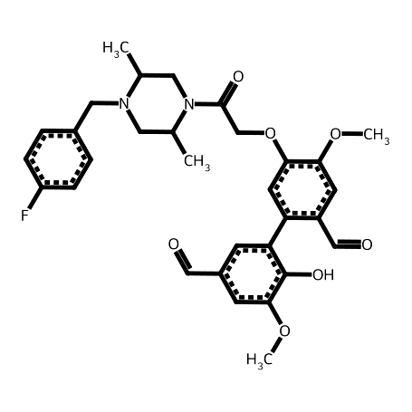 COc1cc(C=O)c(-c2cc(C=O)cc(OC)c2O)cc1OCC(=O)N1CC(C)N(Cc2ccc(F)cc2)CC1C